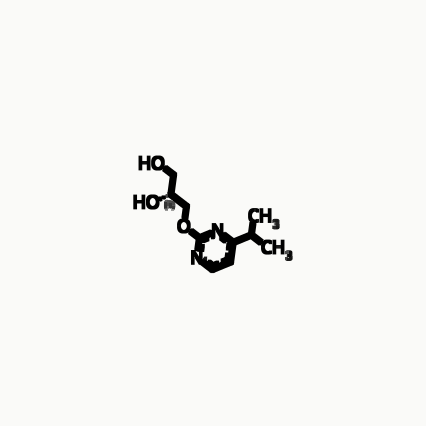 CC(C)c1ccnc(OC[C@H](O)CO)n1